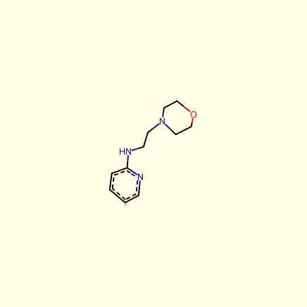 [c]1ccc(NCCN2CCOCC2)nc1